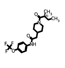 CC[C@H](C)C(=O)N1CCC(CC(=O)Nc2ccc(OC(F)(F)F)cc2)CC1